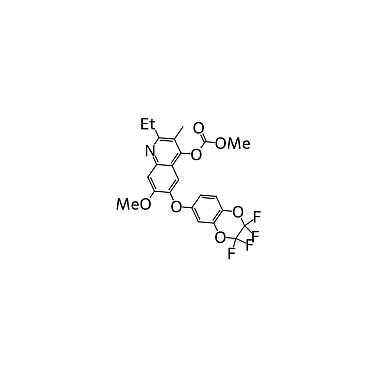 CCc1nc2cc(OC)c(Oc3ccc4c(c3)OC(F)(F)C(F)(F)O4)cc2c(OC(=O)OC)c1C